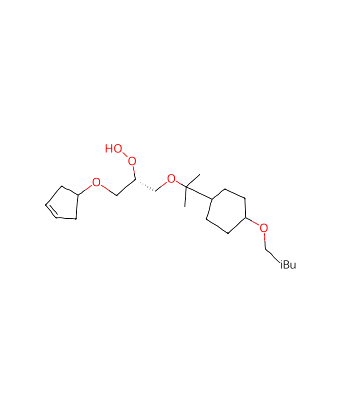 CCC(C)COC1CCC(C(C)(C)OC[C@H](COC2CC=CC2)OO)CC1